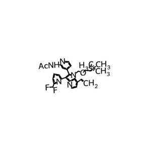 C=Cc1ccnc2c(-c3cccc(C(F)F)n3)c(-c3ccnc(NC(C)=O)c3)n(COCC[Si](C)(C)C)c12